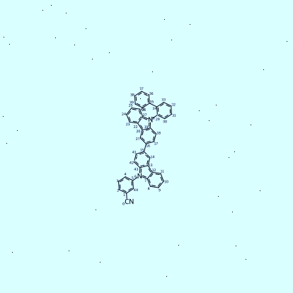 N#Cc1cccc(-n2c3ccccc3c3cc(-c4ccc5c(c4)c4ccccc4n5-c4ccccc4-c4ccccc4)ccc32)c1